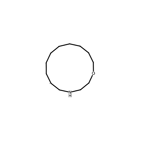 [CH]1CCCCCCCCOCCNC1